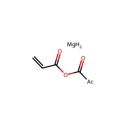 C=CC(=O)OC(=O)C(C)=O.[MgH2]